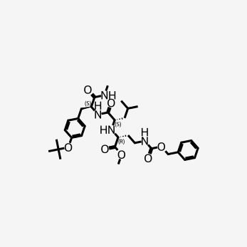 CNC(=O)[C@H](Cc1ccc(OC(C)(C)C)cc1)NC(=O)[C@H](CC(C)C)N[C@H](CCNC(=O)OCc1ccccc1)C(=O)OC